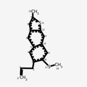 C=CCc1cc2cc3cc(C)sc3cc2cc1SC